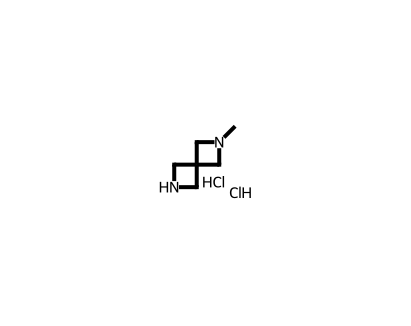 CN1CC2(CNC2)C1.Cl.Cl